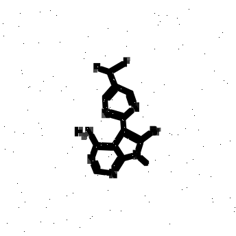 Cn1c(Br)c(-c2ncc(C(F)F)cn2)c2c(N)ncnc21